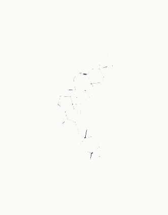 CC[C@]1(O)CC[C@H]2C(=CC[C@@H]3C2CC[C@]2(C)[C@@H]([C@H](C)CCC4(O)CCC(F)(F)CC4)CC[C@@H]32)C1